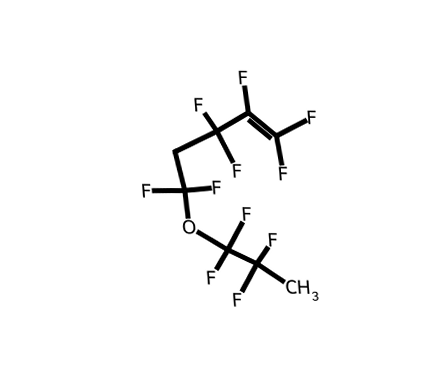 CC(F)(F)C(F)(F)OC(F)(F)CC(F)(F)C(F)=C(F)F